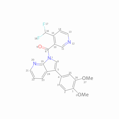 COc1ccc(-c2cn(C(=O)c3cnccc3C(F)F)c3ncccc23)cc1OC